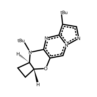 CC(C)(C)c1cnn2cc3c(nc12)N(C(C)(C)C)[C@@H]1CC[C@H]1O3